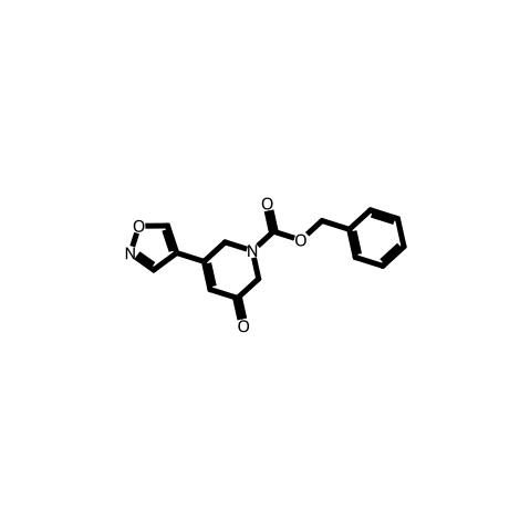 O=C1C=C(c2cnoc2)CN(C(=O)OCc2ccccc2)C1